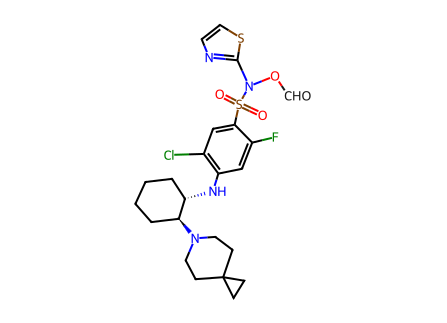 O=CON(c1nccs1)S(=O)(=O)c1cc(Cl)c(N[C@H]2CCCC[C@@H]2N2CCC3(CC2)CC3)cc1F